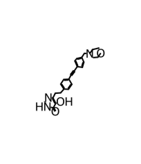 O=c1[nH]cnc(CCc2ccc(C#Cc3ccc(CN4CCOCC4)cc3)cc2)c1O